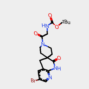 CC(C)(C)OC(=O)NCC(=O)N1CCC2(CC1)Cc1cc(Br)cnc1NC2=O